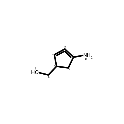 NC1=C=CC(CO)C1